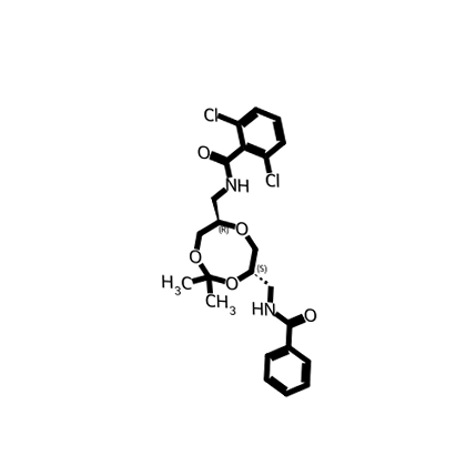 CC1(C)OC[C@@H](CNC(=O)c2c(Cl)cccc2Cl)OC[C@H](CNC(=O)c2ccccc2)O1